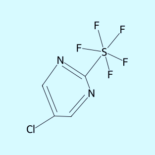 FS(F)(F)(F)(F)c1ncc(Cl)cn1